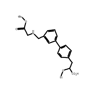 CCOC(Cc1ccc(-c2cccc(CNCC(=O)OC(C)(C)C)c2)cc1)C(=O)O